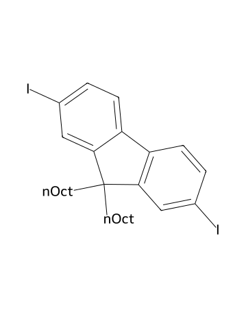 CCCCCCCCC1(CCCCCCCC)c2cc(I)ccc2-c2ccc(I)cc21